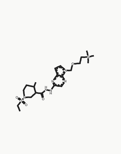 CCS(=O)(=O)N1CCC(C)C(C(=O)NNc2cnc3c(ccn3COCC[Si](C)(C)C)n2)C1